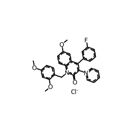 COc1ccc(Cn2c(=O)c(-[n+]3ccccc3)c(-c3cccc(F)c3)c3cc(OC)ccc32)c(OC)c1.[Cl-]